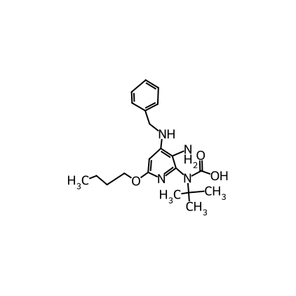 CCCCOc1cc(NCc2ccccc2)c(N)c(N(C(=O)O)C(C)(C)C)n1